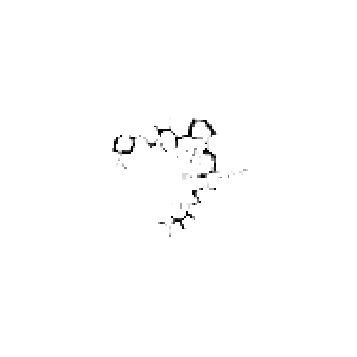 CCC(C)C(C(CC(=O)N1CCCC1C(OC)C(C)C(=O)N(C)CCc1cccc(N)c1)OC)N(C)C(=O)CNC(=O)C(C)(C)N(C)C